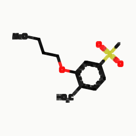 COCCCOc1cc(S(C)(=O)=O)ccc1C(=O)O